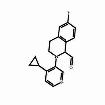 O=CC1c2ccc(F)cc2CCN1c1cnccc1C1CC1